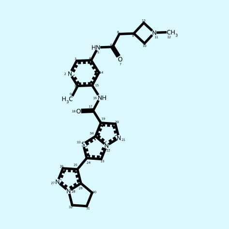 Cc1ncc(NC(=O)CC2CN(C)C2)cc1NC(=O)c1cnn2cc(-c3cnn4c3CCC4)sc12